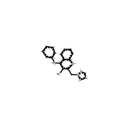 N#Cc1c(Cn2ncnn2)nc2ccccc2c1Nc1ccccc1